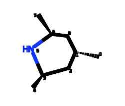 C[C@@H]1C[C@@H](C)N[C@@H](C)C1